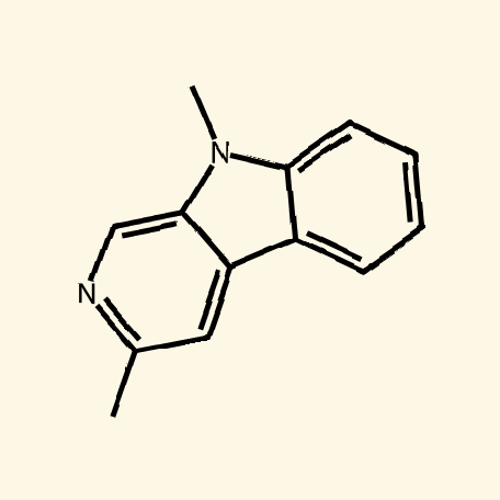 Cc1cc2c3ccccc3n(C)c2cn1